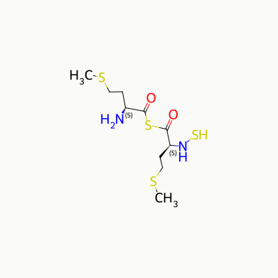 CSCC[C@H](NS)C(=O)SC(=O)[C@@H](N)CCSC